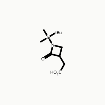 CC(C)(C)[Si](C)(C)N1CC(CC(=O)O)C1=O